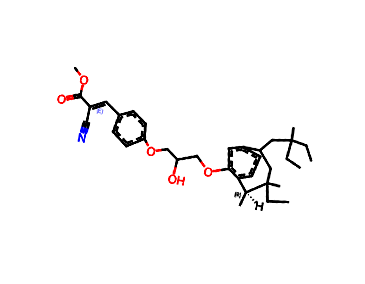 CCC(C)(CC)CC1CC(C)(CC)[C@@H](C)c2ccc1cc2OCC(O)COc1ccc(/C=C(\C#N)C(=O)OC)cc1